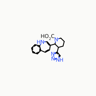 O=C(O)N1CCCC(c2c[nH]nn2)C1C1=CNc2ccccc2C=C1